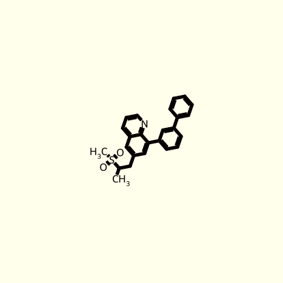 CC(Cc1cc(-c2cccc(-c3ccccc3)c2)c2ncccc2c1)S(C)(=O)=O